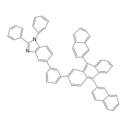 c1ccc(-c2nc3cc(-c4cccc(-c5ccc6c(-c7ccc8ccccc8c7)c7ccccc7c(-c7ccc8ccccc8c7)c6c5)c4)ccc3n2-c2ccccc2)cc1